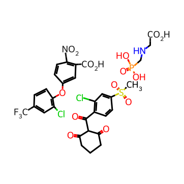 CS(=O)(=O)c1ccc(C(=O)C2C(=O)CCCC2=O)c(Cl)c1.O=C(O)CNCP(=O)(O)O.O=C(O)c1cc(Oc2ccc(C(F)(F)F)cc2Cl)ccc1[N+](=O)[O-]